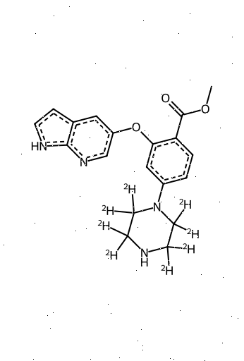 [2H]C1([2H])NC([2H])([2H])C([2H])([2H])N(c2ccc(C(=O)OC)c(Oc3cnc4[nH]ccc4c3)c2)C1([2H])[2H]